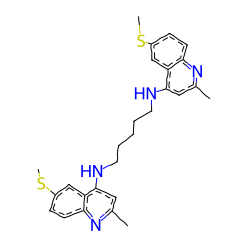 CSc1ccc2nc(C)cc(NCCCCCNc3cc(C)nc4ccc(SC)cc34)c2c1